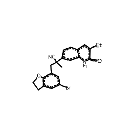 CCc1cc2ccc(C(C)(C#N)Cc3cc(Br)cc4c3OCC4)cc2[nH]c1=O